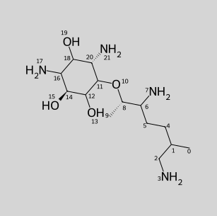 CC(CN)CCC(N)[C@H](C)OC1C(O)[C@@H](O)C(N)C(O)[C@@H]1N